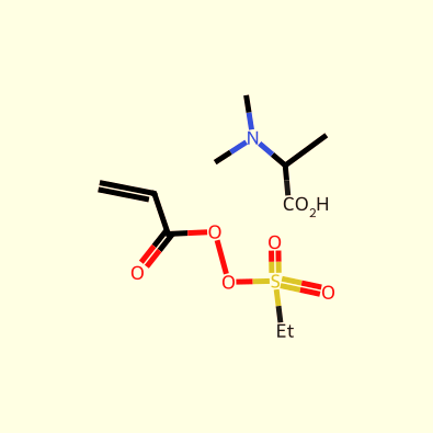 C=CC(=O)OOS(=O)(=O)CC.CC(C(=O)O)N(C)C